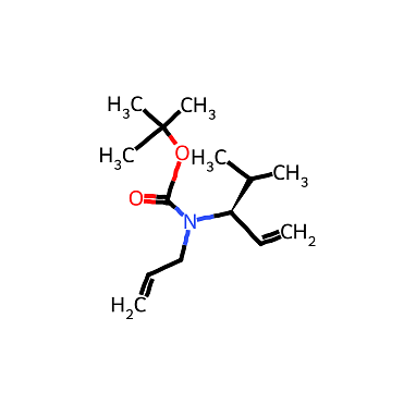 C=CCN(C(=O)OC(C)(C)C)[C@H](C=C)C(C)C